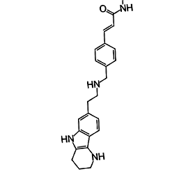 O=C(/C=C/c1ccc(CNCCc2ccc3c4c([nH]c3c2)CCCN4)cc1)NO